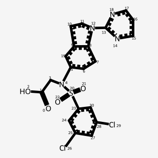 O=C(O)CN(c1ccc2c(ccn2-c2ncccn2)c1)S(=O)(=O)c1cc(Cl)cc(Cl)c1